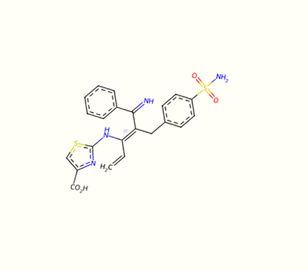 C=C/C(Nc1nc(C(=O)O)cs1)=C(\Cc1ccc(S(N)(=O)=O)cc1)C(=N)c1ccccc1